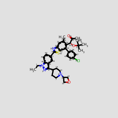 CCn1nc(C2CCN(C3COC3)CC2)c2cc(-c3nc4cc(C)c([C@H](OC(C)(C)C)C(C)=O)c(-c5ccc(Cl)cc5)c4s3)ccc21